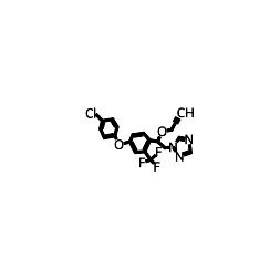 C#CCOC(Cn1cncn1)c1ccc(Oc2ccc(Cl)cc2)cc1C(F)(F)F